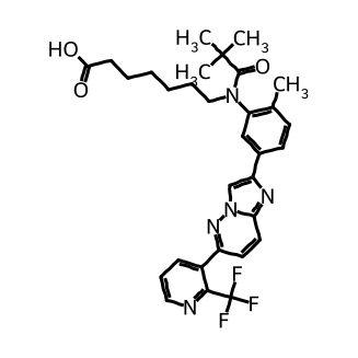 Cc1ccc(-c2cn3nc(-c4cccnc4C(F)(F)F)ccc3n2)cc1N(CCCCCCC(=O)O)C(=O)C(C)(C)C